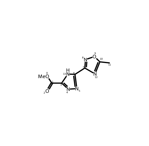 COC(=O)c1nnc(-c2noc(C)n2)[nH]1